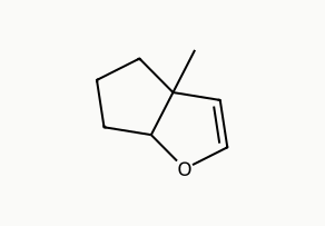 CC12C=COC1CCC2